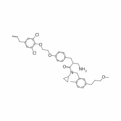 C=CCc1cc(Cl)c(OCCOc2ccc(CC(CN)C(=O)N(Cc3cc(CCCOC)ccc3C)C3CC3)cc2)c(Cl)c1